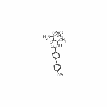 CCCCCC(N)(N)C(=O)C(C)NC(=O)c1ccc(-c2ccc(CCC)cc2)cc1